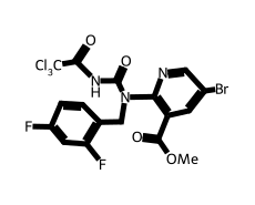 COC(=O)c1cc(Br)cnc1N(Cc1ccc(F)cc1F)C(=O)NC(=O)C(Cl)(Cl)Cl